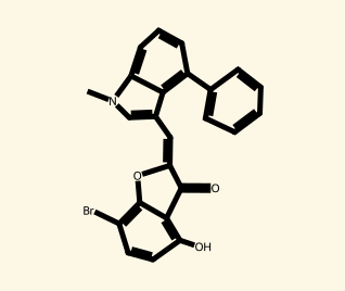 Cn1cc(/C=C2\Oc3c(Br)ccc(O)c3C2=O)c2c(-c3ccccc3)cccc21